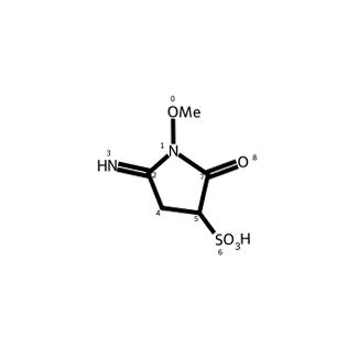 CON1C(=N)CC(S(=O)(=O)O)C1=O